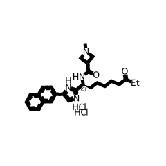 CCC(=O)CCCCC[C@H](NC(=O)C1CN(C)C1)c1ncc(-c2ccc3ccccc3c2)[nH]1.Cl.Cl